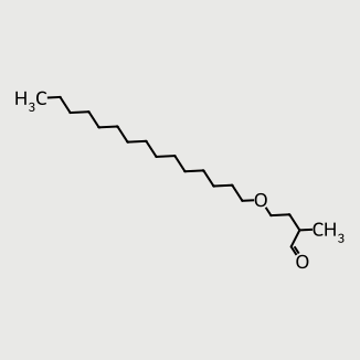 CCCCCCCCCCCCCCCOCCC(C)C=O